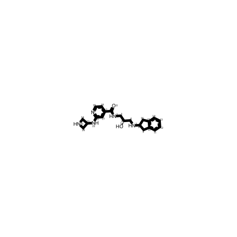 O=C(NC[C@@H](O)CNC1Cc2ccccc2C1)c1ccnc(NC2CNC2)c1